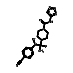 CC(F)(C1CCN(C(=O)Nc2cnns2)CC1)[S+]([O-])c1ccc(C#N)cc1